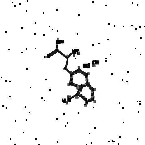 COC(=O)C(N)Cc1ccc2ccnc(N)c2c1.Cl.Cl